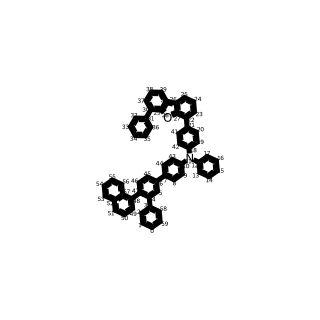 c1ccc(-c2cc(-c3ccc(N(c4ccccc4)c4ccc(-c5cccc6c5oc5c(-c7ccccc7)cccc56)cc4)cc3)ccc2-c2cccc3ccccc23)cc1